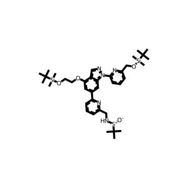 CC(C)(C)[S+]([O-])NCc1cccc(-c2cc(OCCO[Si](C)(C)C(C)(C)C)c3cnn(-c4cccc(CO[Si](C)(C)C(C)(C)C)n4)c3c2)n1